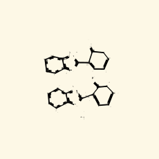 O=C1CC=CC=C1c1nc2ccccc2s1.O=C1CC=CC=C1c1nc2ccccc2s1.[Zn]